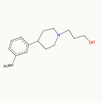 CC(=O)Nc1cccc(C2CCN(CCCO)CC2)c1